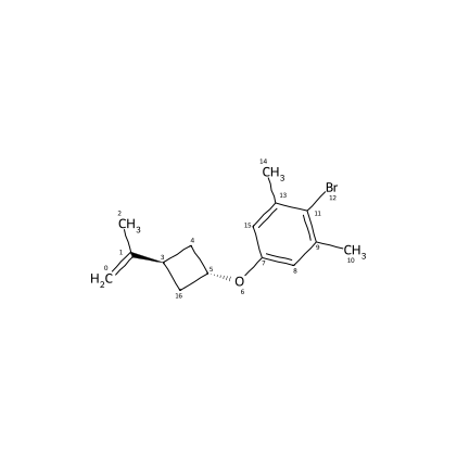 C=C(C)[C@H]1C[C@H](Oc2cc(C)c(Br)c(C)c2)C1